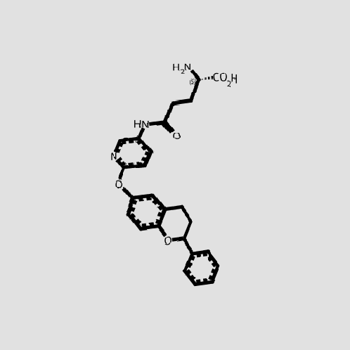 N[C@@H](CCC(=O)Nc1ccc(Oc2ccc3c(c2)CCC(c2ccccc2)O3)nc1)C(=O)O